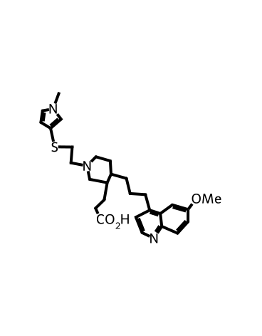 COc1ccc2nccc(CCCC3CCN(CCSc4ccn(C)c4)CC3CCC(=O)O)c2c1